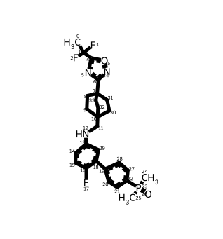 CC(F)(F)c1nc(C23CCC(CNc4ccc(F)c(-c5ccc(P(C)(C)=O)cc5)c4)(CC2)CC3)no1